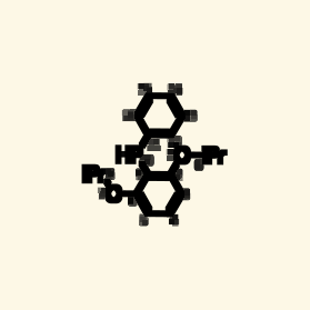 CC(C)Oc1cccc(OC(C)C)c1Pc1ccccc1